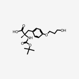 CC(C)(C)OC(=O)N[C@@](C)(Cc1ccc(OCCCO)cc1)C(=O)O